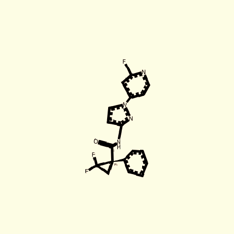 O=C(Nc1ccn(-c2ccnc(F)c2)n1)[C@]1(c2ccccc2)CC1(F)F